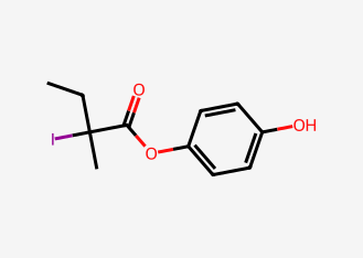 CCC(C)(I)C(=O)Oc1ccc(O)cc1